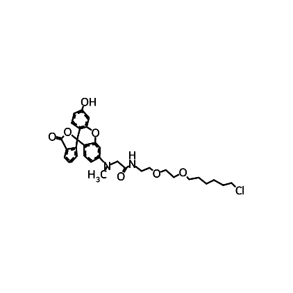 CN(CC(=O)NCCOCCOCCCCCCCl)c1ccc2c(c1)Oc1cc(O)ccc1C21OC(=O)c2ccccc21